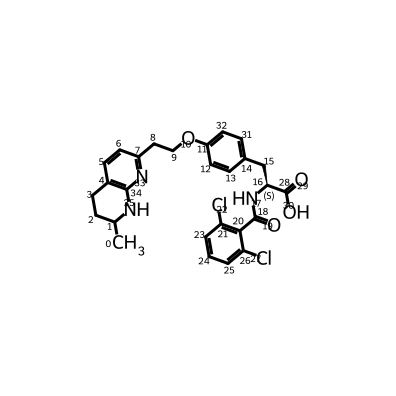 CC1CCc2ccc(CCOc3ccc(C[C@H](NC(=O)c4c(Cl)cccc4Cl)C(=O)O)cc3)nc2N1